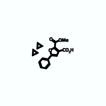 C1CC1.C1CC1.COC(=O)c1oc(-c2ccccc2)cc1C(=O)O